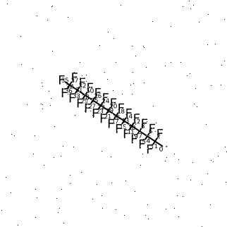 [CH2]C(F)(F)C(F)(F)C(F)(F)C(F)(F)C(F)(F)C(F)(F)C(F)(F)C(F)(F)C(F)(F)C(F)(F)C(F)(F)C(F)(F)F